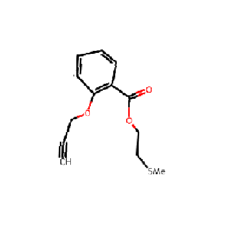 C#CCOc1[c]cccc1C(=O)OCCSC